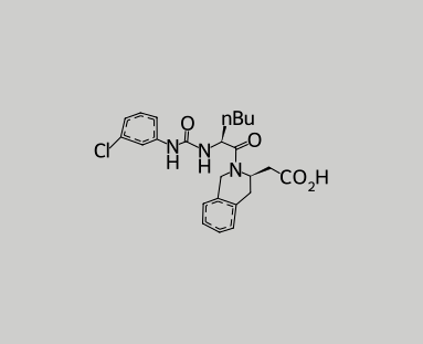 CCCC[C@H](NC(=O)Nc1cccc(Cl)c1)C(=O)N1Cc2ccccc2C[C@@H]1CC(=O)O